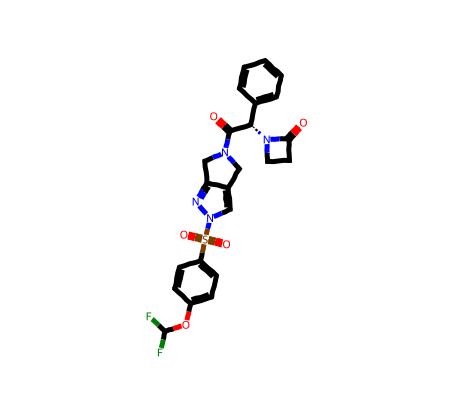 O=C([C@H](c1ccccc1)N1CCC1=O)N1Cc2cn(S(=O)(=O)c3ccc(OC(F)F)cc3)nc2C1